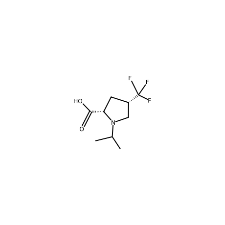 CC(C)N1C[C@@H](C(F)(F)F)C[C@H]1C(=O)O